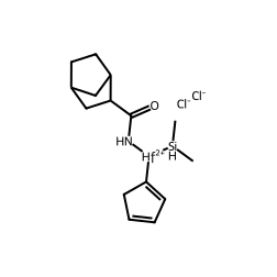 C[SiH](C)[Hf+2]([NH]C(=O)C1CC2CCC1C2)[C]1=CC=CC1.[Cl-].[Cl-]